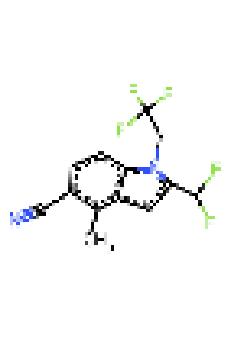 Cc1c(C#N)ccc2c1cc(C(F)F)n2CC(F)(F)F